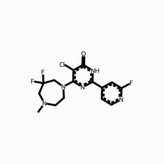 CN1CCN(c2nc(-c3ccnc(F)c3)[nH]c(=O)c2Cl)CC(F)(F)C1